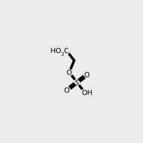 O=C(O)COS(=O)(=O)O